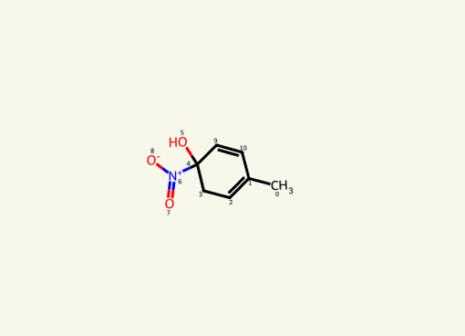 CC1=CCC(O)([N+](=O)[O-])C=C1